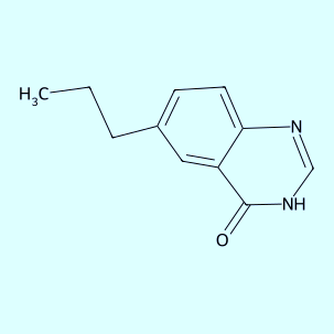 CCCc1ccc2nc[nH]c(=O)c2c1